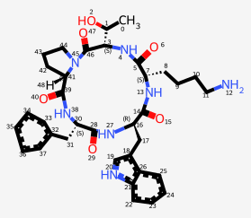 CC(O)[C@@H]1NC(=O)[C@H](CCCCN)NC(=O)[C@@H](Cc2c[nH]c3ccccc23)NC(=O)[C@H](Cc2ccccc2)NC(=O)[C@@H]2CCCN2C1=O